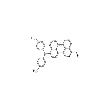 Cc1ccc(N(c2ccc(C)cc2)c2ccc3c4ccc(C=O)c5cccc(c6cccc2c63)c54)cc1